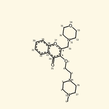 CN1CCN(CCOc2c(CN3CCOCC3)oc3ccccc3c2=O)CC1